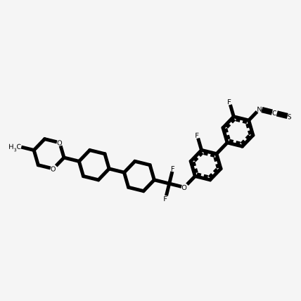 CC1COC(C2CCC(C3CCC(C(F)(F)Oc4ccc(-c5ccc(N=C=S)c(F)c5)c(F)c4)CC3)CC2)OC1